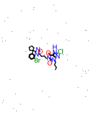 CCCCn1c(=O)n(CCCc2nc(C3(c4cccc(Br)c4)CCCC3)no2)c(=O)c2[nH]c(Cl)nc21